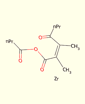 CCCC(=O)OC(=O)C(C)=C(C)C(=O)CCC.[Zr]